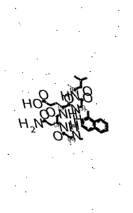 CN[C@H](C)C(=O)N[C@@H](CC(N)=O)C(=O)N[C@@H](CCC(=O)O)C(=O)N[C@@H](Cc1cccc2ccccc12)C(=O)N[C@H](C)C(=O)C(C)C